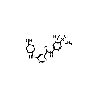 CC(C)(C)c1ccc(NC(=O)c2cc(NC3CCC(O)CC3)ncn2)cc1